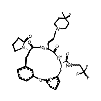 CC1(F)CCN(CC[C@@H]2NC(=O)[C@@H](N3CCCC3=O)Cc3cccc(c3)Oc3cccc(c3)C[C@@H](C(=O)NCC(F)(F)F)NC2=O)CC1